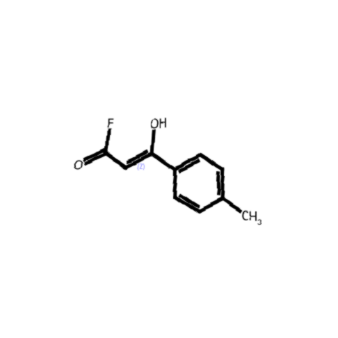 Cc1ccc(/C(O)=C/C(=O)F)cc1